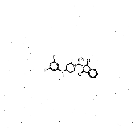 CCCC(N1CCC(Nc2cc(F)cc(F)c2)CC1)N1C(=O)c2ccccc2C1=O